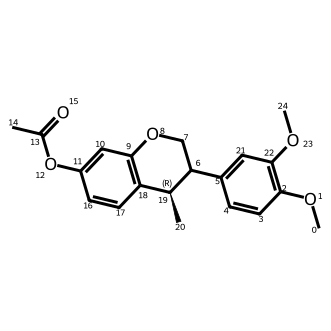 COc1ccc(C2COc3cc(OC(C)=O)ccc3[C@@H]2C)cc1OC